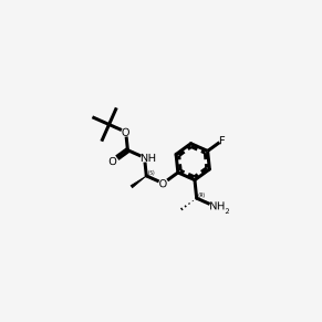 C[C@@H](NC(=O)OC(C)(C)C)Oc1ccc(F)cc1[C@@H](C)N